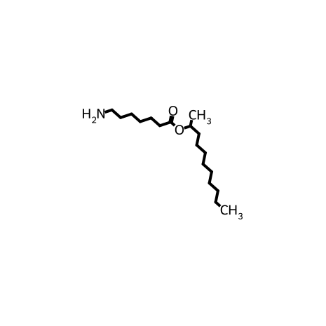 CCCCCCCCCC(C)OC(=O)CCCCCCN